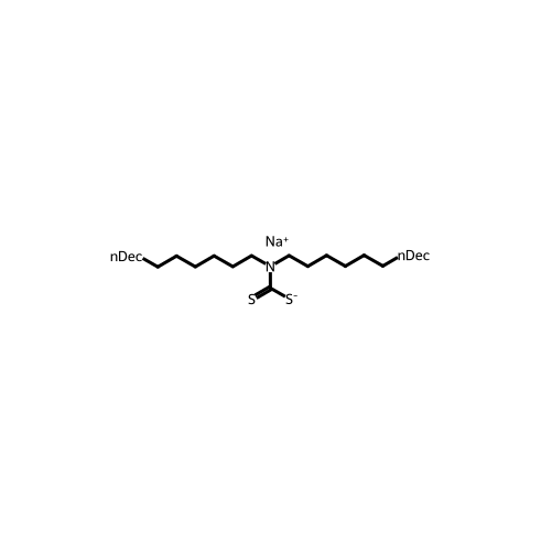 CCCCCCCCCCCCCCCCN(CCCCCCCCCCCCCCCC)C(=S)[S-].[Na+]